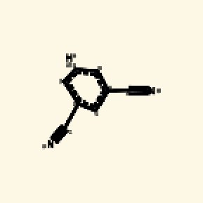 N#Cc1cccc(C#N)c1.[H+]